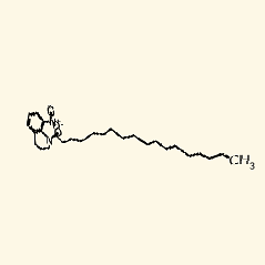 CCCCCCCCCCCCCCCCCC(=O)N1CCCc2cccc([N+](=O)[O-])c21